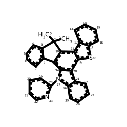 CC1(C)c2ccccc2-c2c1c1c3ccccc3sc1c1c3ccccc3n(-c3ccccn3)c21